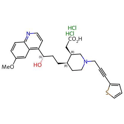 COc1ccc2nccc([C@@H](O)CC[C@@H]3CCN(CC#Cc4cccs4)C[C@@H]3CC(=O)O)c2c1.Cl.Cl